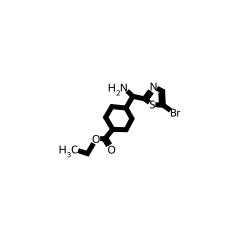 CCOC(=O)C1CCC(C(N)c2ncc(Br)s2)CC1